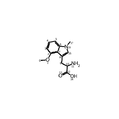 COc1cccc2c1c(CC(N)C(=O)O)cn2C